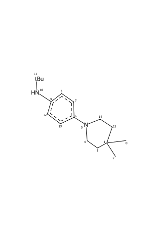 CC1(C)CCN(c2ccc(NC(C)(C)C)cc2)CC1